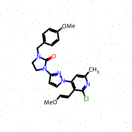 COC=Cc1c(-n2ccc(N3CCN(Cc4ccc(OC)cc4)C3=O)n2)cc(C)nc1Cl